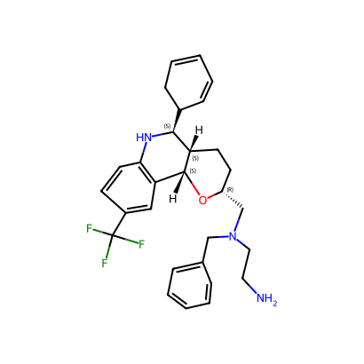 NCCN(Cc1ccccc1)C[C@H]1CC[C@@H]2[C@H](O1)c1cc(C(F)(F)F)ccc1N[C@H]2C1C=CC=CC1